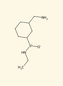 CCN[S+]([O-])C1CCCC(CN)C1